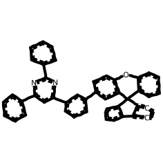 c1ccc(-c2cc(-c3cccc(-c4ccc5c(c4)C4(c6ccccc6O5)c5ccccc5-c5ccccc54)c3)nc(-c3ccccc3)n2)cc1